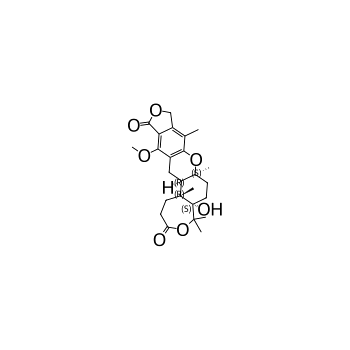 COc1c2c(c(C)c3c1C(=O)OC3)O[C@@]1(C)CC[C@@]3(O)C(C)(C)OC(=O)CC[C@]3(C)[C@H]1C2